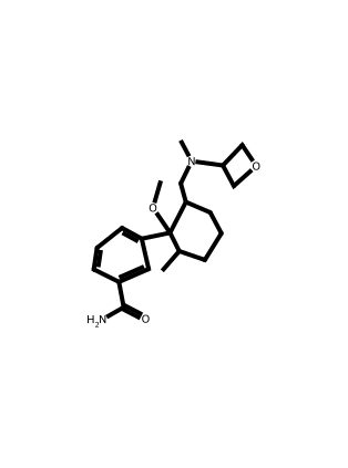 COC1(c2cccc(C(N)=O)c2)C(C)CCCC1CN(C)C1COC1